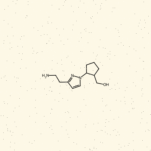 NCCc1ccn(C2CCCC2CO)n1